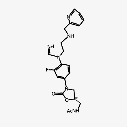 CC(=O)NC[C@H]1CN(c2ccc(N(C=N)CCNCc3ccccn3)c(F)c2)C(=O)O1